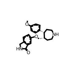 COc1ccc([C@@H]2CCNCC[C@@H]2COc2ccc3c(c2)C(=O)NC3)cc1